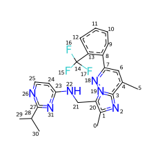 Cc1nc2c(C)cc(-c3ccccc3C(F)(F)F)nn2c1CNc1ccnc(C(C)C)n1